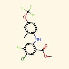 COC(=O)c1cc(Cl)c(F)cc1Nc1ccc(OC(F)(F)F)cc1C